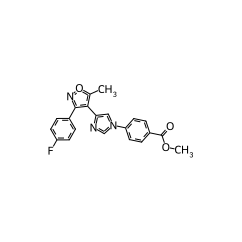 COC(=O)c1ccc(-n2cnc(-c3c(-c4ccc(F)cc4)noc3C)c2)cc1